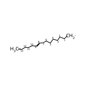 [CH2]CCCCCCCC=CCCCCC